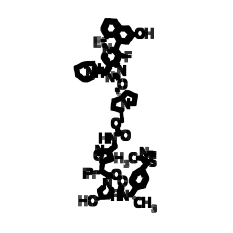 CCc1cccc2cc(O)cc(-c3ncc4c(N5CC6CCC(C5)N6)nc(OC[C@]56CCCN5[C@@H](COC(=O)NCc5cc([C@@H](C(=O)N7C[C@H](O)C[C@H]7C(=O)N[C@@H](C)c7ccc(-c8scnc8C)cc7)C(C)C)on5)CC6)nc4c3F)c12